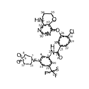 O=C(Nc1cc(N2CCS(=O)(=O)CC2)cc(C(F)(F)F)c1)c1ccc(Cl)c(Oc2ncnc3c2OCCN3)c1